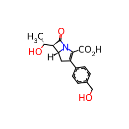 C[C@@H](O)[C@H]1C(=O)N2C(C(=O)O)=C(c3ccc(CO)cc3)C[C@H]12